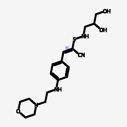 N#C/C(=C\c1ccc(NCCN2CCOCC2)cc1)SNCC(O)CO